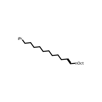 CCCCCCCC/C=C/CCCCCCCCCC(C)C